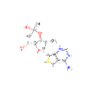 C[C@H]1[C@H](OC(C)(C)O)[C@@H](CO)O[C@H]1c1scc2c(N)ncnc12